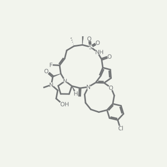 C=C1[C@@H]2CCCN2[C@@H](C(=O)N(C)CCO)/C(F)=C/C[C@H](C)[C@@H](C)S(=O)(=O)NC(=O)c2ccc3c(c2)N1CCCCc1cc(Cl)ccc1CO3